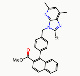 CCc1nc2c(C)cc(C)nc2n1Cc1ccc(-c2c(C(=O)OC)ccc3ccccc23)cc1